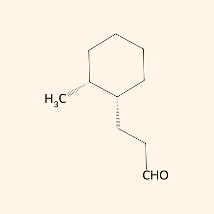 C[C@@H]1CCCC[C@@H]1CCC=O